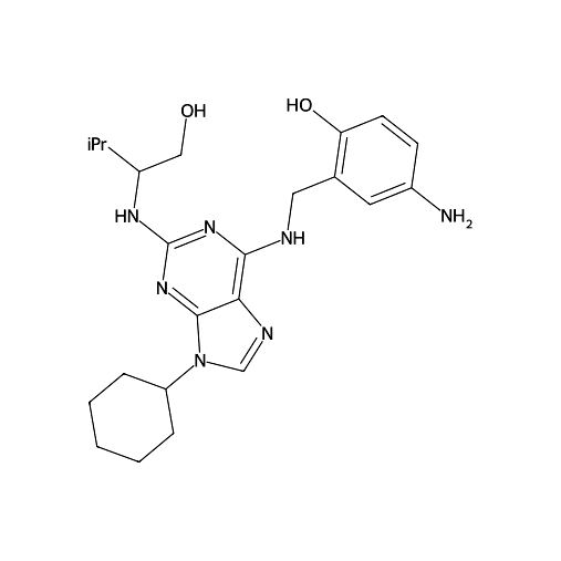 CC(C)C(CO)Nc1nc(NCc2cc(N)ccc2O)c2ncn(C3CCCCC3)c2n1